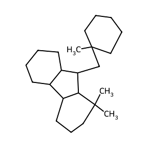 CC1(CC2C3CCCCC3C3CCCC(C)(C)C32)CCCCC1